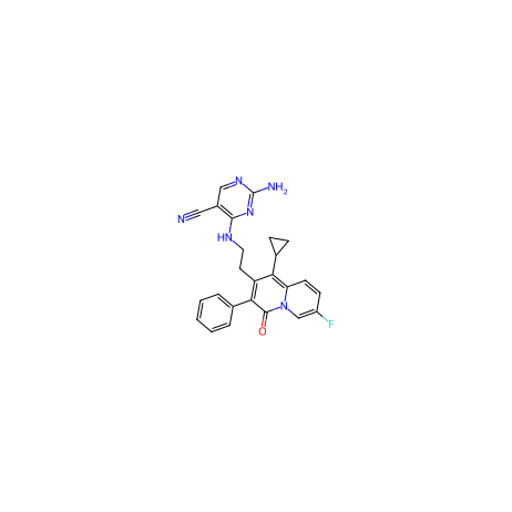 N#Cc1cnc(N)nc1NCCc1c(-c2ccccc2)c(=O)n2cc(F)ccc2c1C1CC1